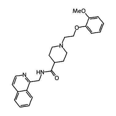 COc1ccccc1OCCN1CCC(C(=O)NCc2nccc3ccccc23)CC1